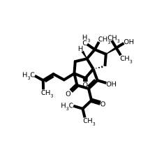 CC(C)=CCC12C[C@@H]3C(C)(C)[C@@H](C(C)(C)O)C[C@@]3(C1=O)C(O)=C(C(=O)C(C)C)C2=O